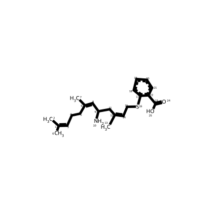 CC(C)=CCCC(C)=CC(N)CC(C)=CCSc1ccccc1C(=O)O